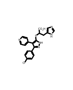 O=C(O)C(Cc1cnc[nH]1)Sc1[nH]nc(-c2ccc(Cl)cc2)c1-c1ccncc1